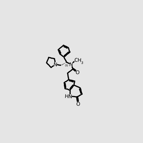 CN(C(=O)Cc1ccc2[nH]c(=O)ccc2c1)[C@H](CN1CCCC1)c1ccccc1